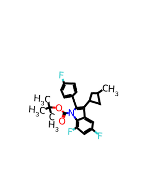 CC1CC(c2c(-c3ccc(F)cc3)n(C(=O)OC(C)(C)C)c3c(F)cc(F)cc23)C1